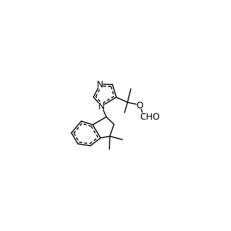 CC1(C)CC(n2cncc2C(C)(C)OC=O)c2ccccc21